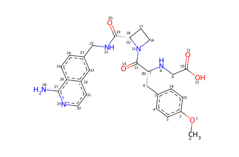 COc1ccc(C[C@@H](NCC(=O)O)C(=O)N2CC[C@H]2C(=O)NCc2ccc3c(N)nccc3c2)cc1